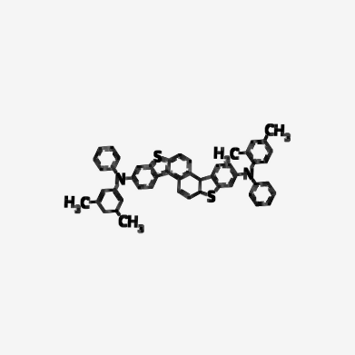 CC1=CC(N(c2ccccc2)c2ccc3c(c2)sc2ccc4c(c23)C=CC2Sc3cc(N(c5ccccc5)c5ccc(C)cc5C)ccc3C42)=CC(C)C1